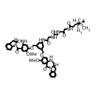 COc1cc2c(cc1OCc1cc(COc3cc4c(cc3OC)C(=O)N3c5ccccc5C[C@H]3CN4)cc(NC(=O)CNC(=O)CNC(=O)CNC(=O)CCC(C)(C)S(C)=S)c1)NC[C@@H]1Cc3ccccc3N1C2=O